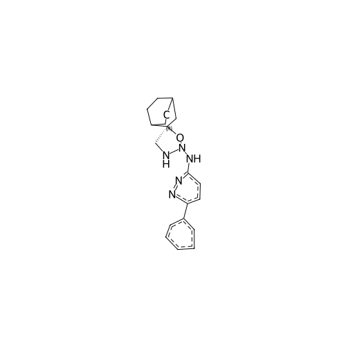 c1ccc(-c2ccc(NN3NC[C@]4(CC5CCC4CC5)O3)nn2)cc1